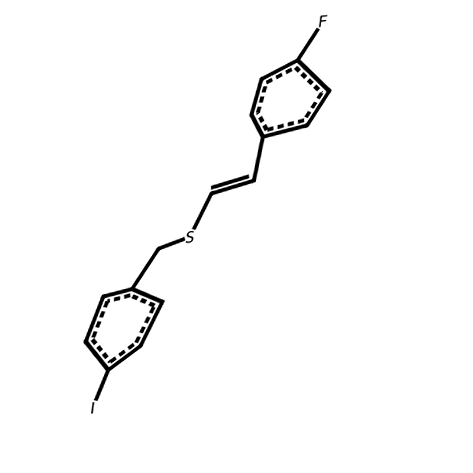 Fc1ccc(C=CSCc2ccc(I)cc2)cc1